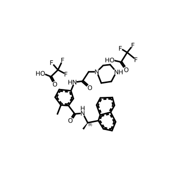 Cc1ccc(NC(=O)CN2CCNCC2)cc1C(=O)N[C@H](C)c1cccc2ccccc12.O=C(O)C(F)(F)F.O=C(O)C(F)(F)F